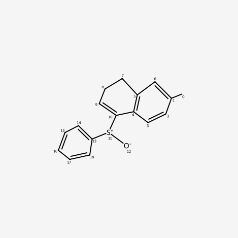 Cc1ccc2c(c1)CCC=C2[S+]([O-])c1ccccc1